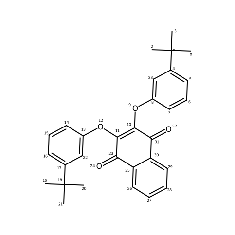 CC(C)(C)c1cccc(OC2=C(Oc3cccc(C(C)(C)C)c3)C(=O)c3ccccc3C2=O)c1